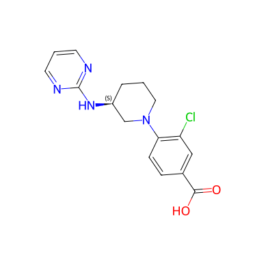 O=C(O)c1ccc(N2CCC[C@H](Nc3ncccn3)C2)c(Cl)c1